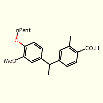 CCCCCOc1ccc(C(C)c2ccc(C(=O)O)c(C)c2)cc1OC